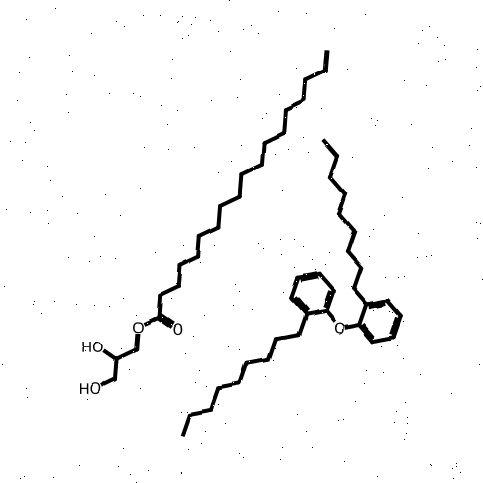 CCCCCCCCCCCCCCCCCC(=O)OCC(O)CO.CCCCCCCCCc1ccccc1Oc1ccccc1CCCCCCCCC